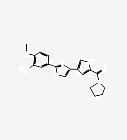 COc1ccc(-c2nc(-c3c[nH]c(C(=O)N4CCCC4)c3)cs2)cc1N